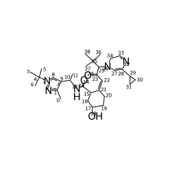 Cc1nn(C(C)(C)C)cc1C(C)NC(=O)C1CC(O)CC/C1=C/C(=O)C(N1C=C(C2CC2)N=CC1)C(C)(C)C